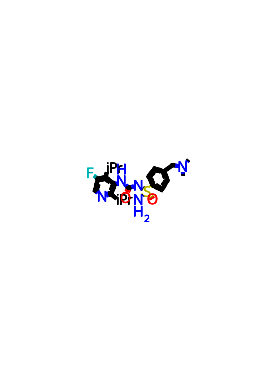 CC(C)c1ncc(F)c(C(C)C)c1NC(=O)N=S(N)(=O)c1ccc(CN(C)C)cc1